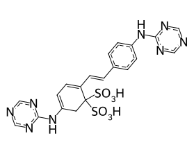 O=S(=O)(O)C1(S(=O)(=O)O)CC(Nc2ncncn2)=CC=C1C=Cc1ccc(Nc2ncncn2)cc1